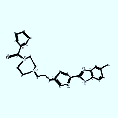 Cc1ccc2[nH]c(-c3ccc(OCCN4CCN(C(=O)c5ccccc5)CC4)cn3)nc2c1